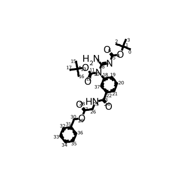 CC(C)(C)OC(=O)N=C(N)N(C(=O)OC(C)(C)C)c1cccc(C(=O)NCC(=O)OCc2ccccc2)c1